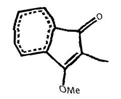 COC1=C(C)C(=O)c2ccccc21